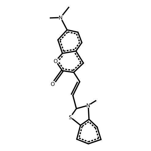 CN(C)c1ccc2cc(/C=C/C3Sc4ccccc4N3C)c(=O)oc2c1